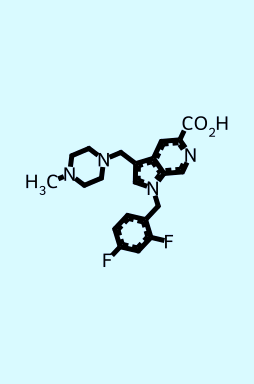 CN1CCN(Cc2cn(Cc3ccc(F)cc3F)c3cnc(C(=O)O)cc23)CC1